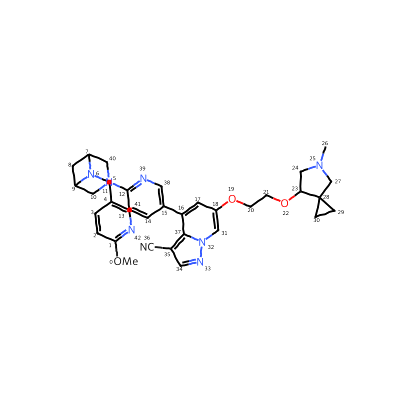 COc1ccc(CN2C3CC2CN(c2ccc(-c4cc(OCCOC5CN(C)CC56CC6)cn5ncc(C#N)c45)cn2)C3)cn1